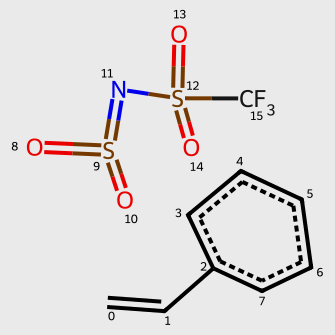 C=Cc1ccccc1.O=S(=O)=NS(=O)(=O)C(F)(F)F